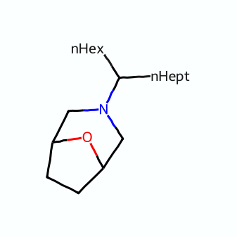 CCCCCCCC(CCCCCC)N1CC2CCC(C1)O2